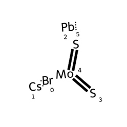 [Br].[Cs].[Pb].[S]=[Mo]=[S]